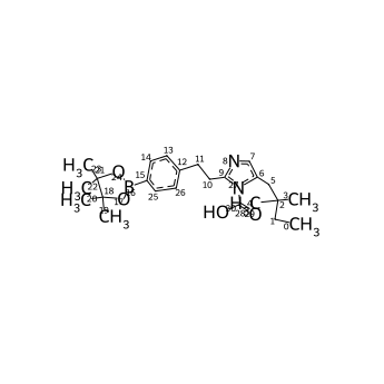 CCC(C)(C)Cc1cnc(CCc2ccc(B3OC(C)(C)C(C)(C)O3)cc2)n1C(=O)O